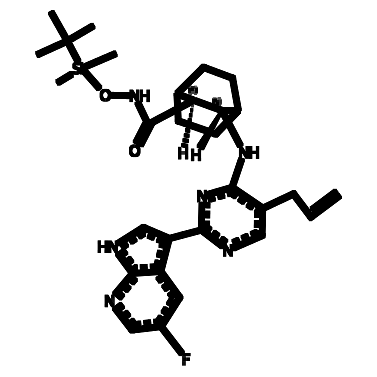 C=CCc1cnc(-c2c[nH]c3ncc(F)cc23)nc1N[C@H]1C2CCC(CC2)[C@@H]1C(=O)NO[Si](C)(C)C(C)(C)C